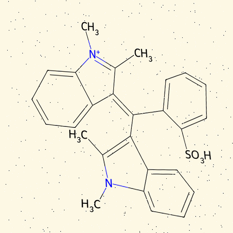 CC1=[N+](C)c2ccccc2/C1=C(/c1ccccc1S(=O)(=O)O)c1c(C)n(C)c2ccccc12